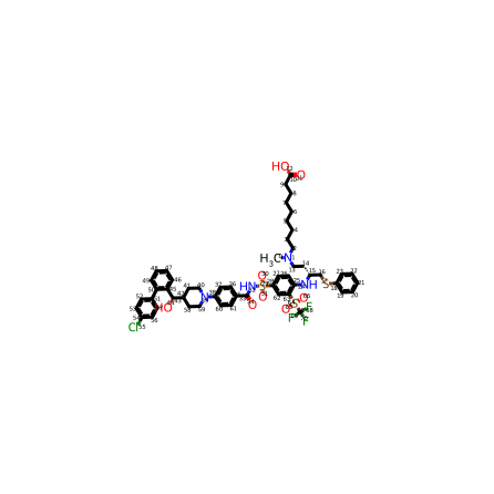 CN(CCCCCCCCC(=O)O)CC[C@H](CSc1ccccc1)Nc1ccc(S(=O)(=O)NC(=O)c2ccc(N3CCC([C@@H](O)c4ccccc4-c4ccc(Cl)cc4)CC3)cc2)cc1S(=O)(=O)C(F)(F)F